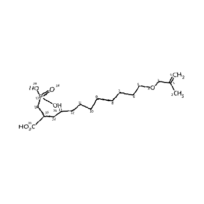 C=C(C)COCCCCCCCCCCC(CP(=O)(O)O)C(=O)O